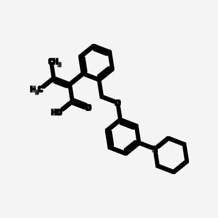 CC(C)=C(C(=O)O)c1ccccc1COc1cccc(N2CCCCC2)c1